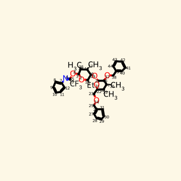 CCC1OC(O/C(=N/c2ccccc2)C(F)(F)F)C(C)[C@@H](C)[C@@H]1O[C@@H]1OC(COCc2ccccc2)[C@H](C)[C@H](C)C1OCc1ccccc1